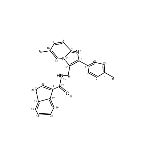 Cc1ccc(-c2nc3ccc(C)cn3c2CNC(=O)c2csc3ccccc23)cc1